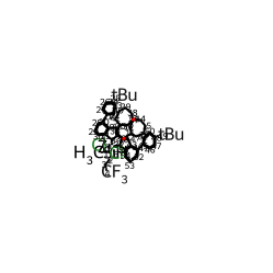 C[SiH](CCC(F)(F)F)[Zr]([Cl])([Cl])([CH]1C(CC2CCCCCC2)=Cc2c(-c3ccc(C(C)(C)C)cc3)cccc21)[CH]1C(CC2CCCCCC2)=Cc2c(-c3ccc(C(C)(C)C)cc3)cccc21